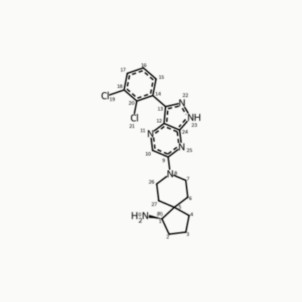 N[C@@H]1CCCC12CCN(c1cnc3c(-c4cccc(Cl)c4Cl)n[nH]c3n1)CC2